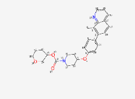 Cc1c(-c2ccc(OC3CCN(C(=O)OC4CCCOC4)CC3)cc2)ccc2cccnc12